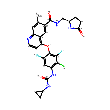 COc1cc2nccc(Oc3c(F)cc(NC(=O)NC4CC4)c(Cl)c3F)c2cc1C(=O)NC[C@H]1CCC(=O)N1